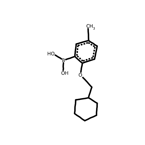 Cc1ccc(OCC2CCCCC2)c(B(O)O)c1